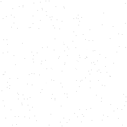 C=C1CCC(F)(F)c2c3c(nn2C1)CC(C)N(C(=O)OC(C)(C)C)C3